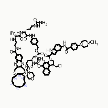 CC(C)[C@@H](NCCNC(=O)c1ccc2nc3c(nc2c1)CSC1=C\C=C/C=C\C=C/C=C/C(=C\1)SC3)C(=O)N[C@H](CCCNC(N)=O)C(=O)Nc1ccc(COC(=O)N(C)C[C@H](CCCCN2CCOCC2)N(C)C(=O)Oc2cc3c(c4ccccc24)[C@H](CCl)CN3C(=O)c2cc3cc(NC(=O)c4ccc(N5CCN(C)CC5)cc4)ccc3[nH]2)cc1